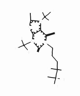 [2H]C([2H])([2H])n1c(C)nc2c1c(=O)n(CCCC([2H])([2H])[C@@]([2H])(C)O)c(=O)n2C([2H])([2H])[2H]